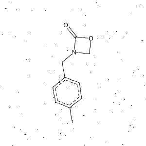 Cc1ccc(CN2COC2=O)cc1